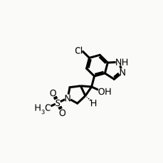 CS(=O)(=O)N1CC2[C@H](C1)C2(O)c1cc(Cl)cc2[nH]ncc12